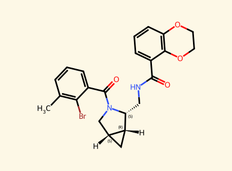 Cc1cccc(C(=O)N2C[C@H]3C[C@H]3[C@H]2CNC(=O)c2cccc3c2OCCO3)c1Br